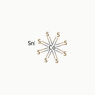 [S]=[Co](=[S])(=[S])(=[S])(=[S])(=[S])(=[S])=[S].[Sn]